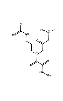 C[C@@H](O)CC(=O)N[C@@H](CCCNC(=N)N)C(=O)C(=O)NC(C)(C)C